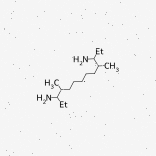 CCC(N)C(C)CC[CH]CCC(C)C(N)CC